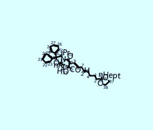 CCCCCCCC1(CCCCCCC=C[C@H](C(=O)N2C(=S)OC(c3ccccc3)(c3ccccc3)C2C(C)C)[C@@](O)(CCC)C(=O)O)OCCO1